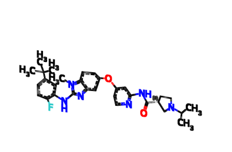 CC(C)N1CC[C@@H](C(=O)Nc2cc(Oc3ccc4c(c3)nc(Nc3cc(C(C)(C)C)ccc3F)n4C)ccn2)C1